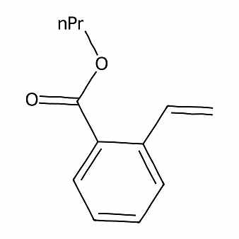 C=Cc1ccccc1C(=O)OCCC